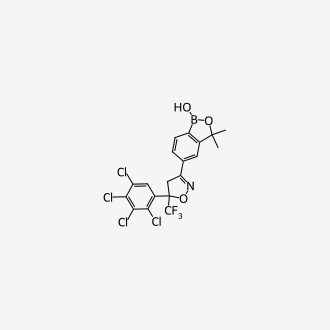 CC1(C)OB(O)c2ccc(C3=NOC(c4cc(Cl)c(Cl)c(Cl)c4Cl)(C(F)(F)F)C3)cc21